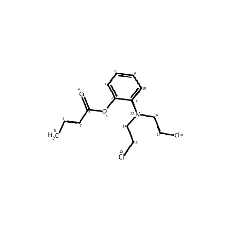 CCCC(=O)Oc1ccccc1N(CCCl)CCCl